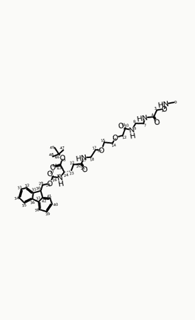 CNOCC(=O)NCCNC(=O)COCCOCCNC(=O)CC[C@H](NC(=O)OCC1c2ccccc2-c2ccccc21)C(=O)OC(C)(C)C